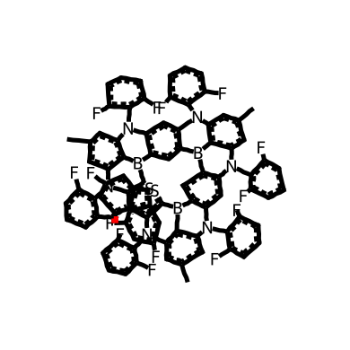 Cc1cc2c3c(c1)N(c1c(F)cccc1F)c1cc4c(cc1B3c1cc3c(cc1N2c1c(F)cccc1F)N(c1c(F)cccc1F)c1cc(C)cc2c1B3c1sc3cc(F)cc(F)c3c1N2c1c(F)cccc1F)B1c2sc3cc(F)cc(F)c3c2N(c2c(F)cccc2F)c2cc(C)cc(c21)N4c1c(F)cccc1F